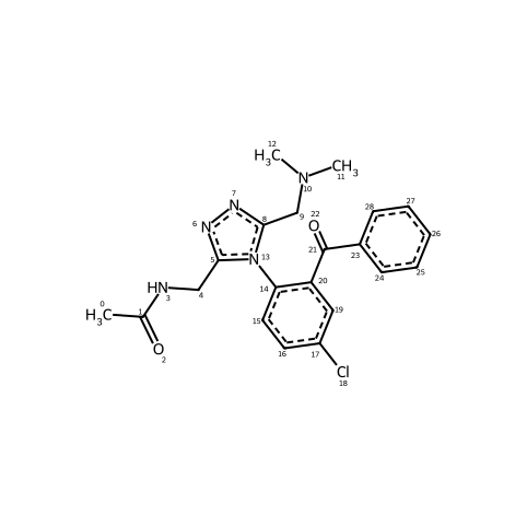 CC(=O)NCc1nnc(CN(C)C)n1-c1ccc(Cl)cc1C(=O)c1ccccc1